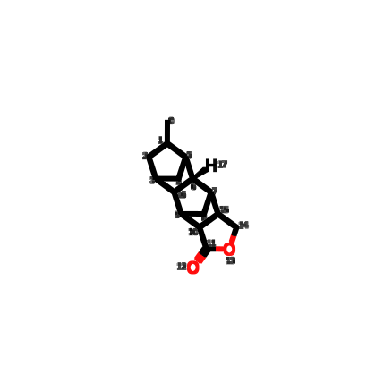 CC1CC2CC1[C@@H]1C3CC(C4C(=O)OCC43)C21